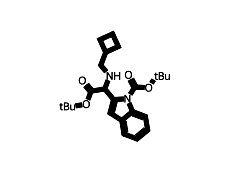 CC(C)(C)OC(=O)C(NCC1CCC1)c1cc2ccccc2n1C(=O)OC(C)(C)C